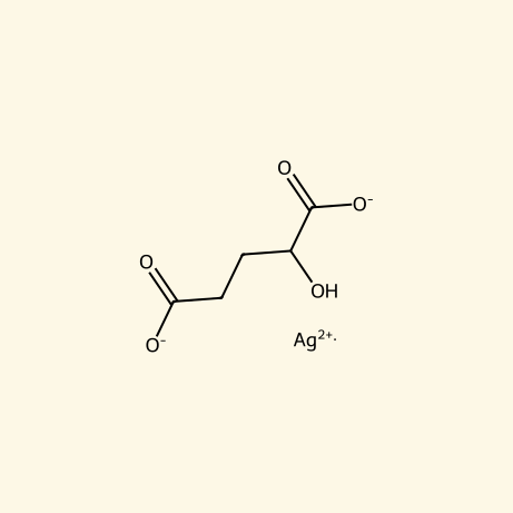 O=C([O-])CCC(O)C(=O)[O-].[Ag+2]